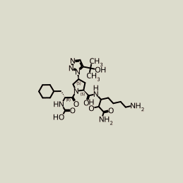 CC(C)(O)c1cnnn1[C@H]1C[C@@H](C(=O)NC(CCCCN)C(O)C(N)=O)N(C(=O)[C@@H](CC2CCCCC2)NC(=O)O)C1